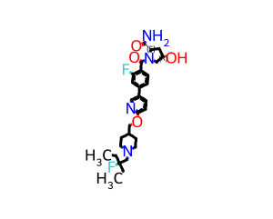 CCC(F)(CC)CN1CCC(COc2ccc(-c3ccc(C(=O)N4C[C@H](O)C[C@H]4C(N)=O)c(F)c3)cn2)CC1